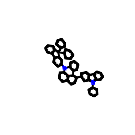 c1ccc(N(c2ccc3c(c2)C(c2ccccc2)(c2ccccc2)c2ccccc2-3)c2ccccc2-c2ccccc2-c2ccc3c4ccccc4n(-c4ccccc4)c3c2)cc1